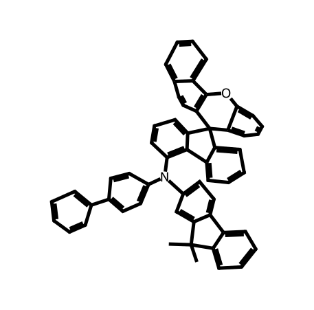 CC1(C)c2ccccc2-c2ccc(N(c3ccc(-c4ccccc4)cc3)c3cccc4c3-c3ccccc3C43c4ccccc4Oc4c3ccc3ccccc43)cc21